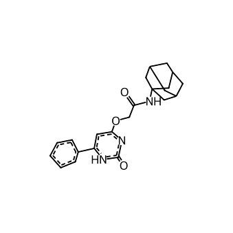 O=C(COc1cc(-c2ccccc2)[nH]c(=O)n1)NC12CC3CC(CC(C3)C1)C2